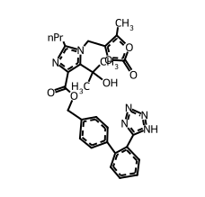 CCCc1nc(C(=O)OCc2ccc(-c3ccccc3-c3nnn[nH]3)cc2)c(C(C)(C)O)n1Cc1oc(=O)oc1C